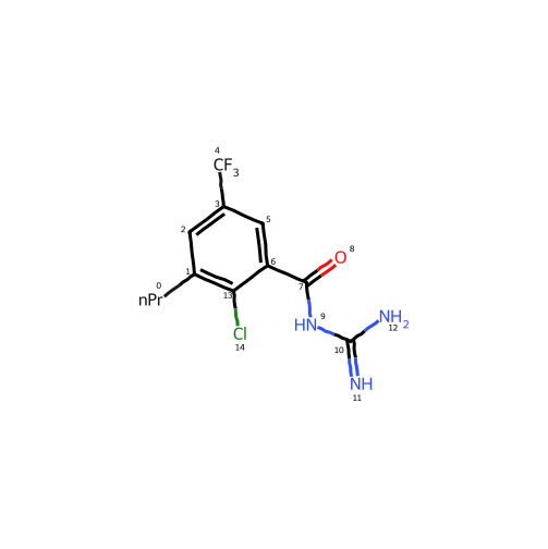 CCCc1cc(C(F)(F)F)cc(C(=O)NC(=N)N)c1Cl